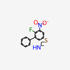 N=C=S.O=[N+]([O-])c1cccc(-c2ccccc2)c1F